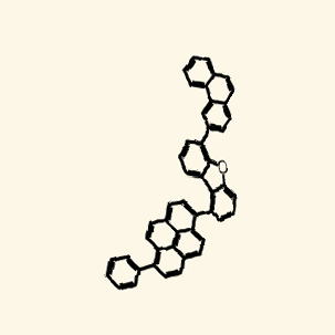 c1ccc(-c2ccc3ccc4c(-c5cccc6oc7c(-c8ccc9ccc%10ccccc%10c9c8)cccc7c56)ccc5ccc2c3c54)cc1